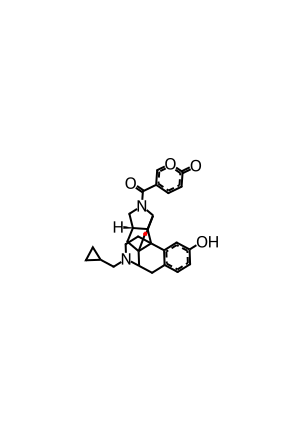 O=C(c1ccc(=O)oc1)N1C[C@H]2CC34CCC1C2C31CCN(CC2CC2)C4Cc2ccc(O)cc21